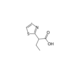 CCC(C(=O)O)c1n[c]cs1